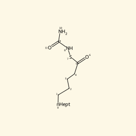 CCCCCCCCCCCC(=O)SNC(N)=O